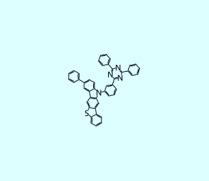 c1ccc(-c2ccc3c(c2)c2cc4sc5ccccc5c4cc2n3-c2cccc(-c3nc(-c4ccccc4)nc(-c4ccccc4)n3)c2)cc1